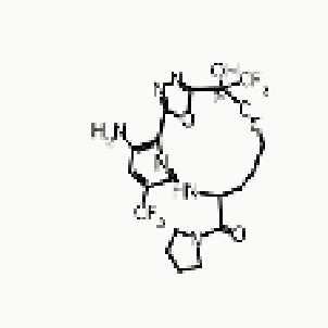 Nc1cc(C(F)(F)F)c2nc1-c1nnc(o1)[C@@](O)(C(F)(F)F)CCCCCC(C(=O)N1CCCC1)N2